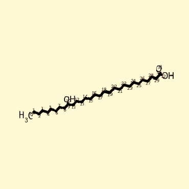 CCCCCCCCCC(O)CCCCCCCCCCCCCCCCCCCC(=O)O